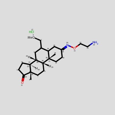 COCC1C[C@@H]2[C@@H](CC[C@]3(C)C(=O)CC[C@@H]23)[C@@]2(C)CCC(=NOCCN)CC12.Cl